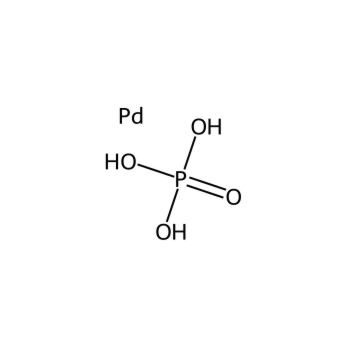 O=P(O)(O)O.[Pd]